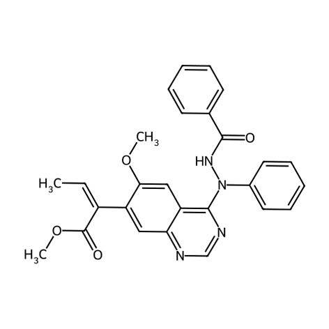 CC=C(C(=O)OC)c1cc2ncnc(N(NC(=O)c3ccccc3)c3ccccc3)c2cc1OC